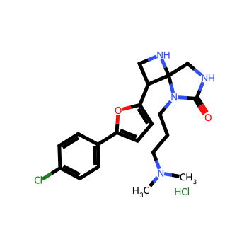 CN(C)CCCN1C(=O)NCC12NCC2c1ccc(-c2ccc(Cl)cc2)o1.Cl